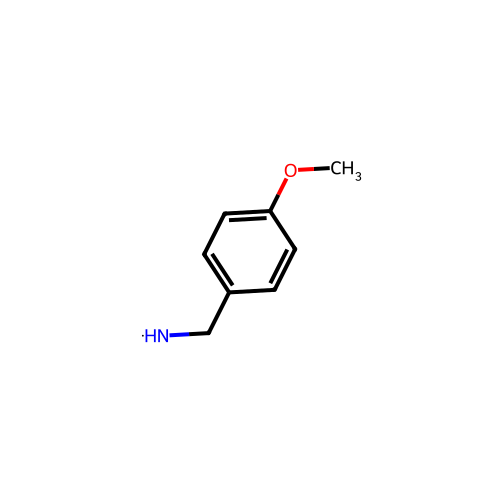 COc1ccc(C[NH])cc1